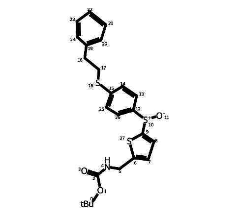 CC(C)(C)OC(=O)NCc1ccc([S+]([O-])c2ccc(SCCc3ccccc3)cc2)s1